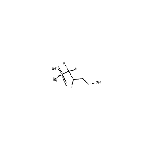 O=S(=O)(O)C(F)(F)C(F)CCO.[LiH]